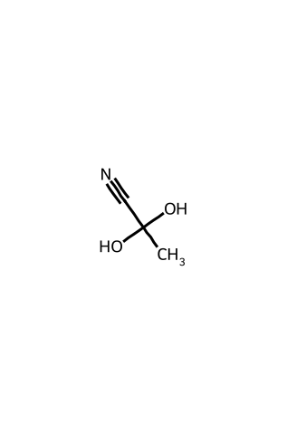 CC(O)(O)C#N